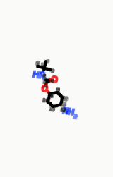 CC(C)(C)NC(=O)O[C@H]1CC[C@H](N)CC1